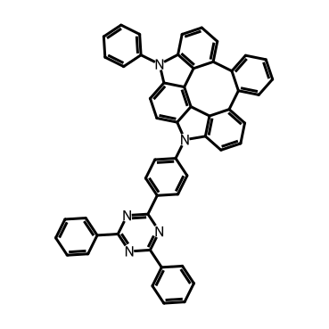 c1ccc(-c2nc(-c3ccccc3)nc(-c3ccc(-n4c5cccc6c7ccccc7c7cccc8c7c7c(c65)c4ccc7n8-c4ccccc4)cc3)n2)cc1